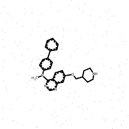 CN(c1ccc(-c2ccccc2)cc1)c1ncnc2cc(OCC3CCNCC3)ccc12